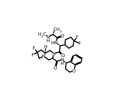 CN[C@@H](C)C(=O)N[C@H](C(=O)N1C[C@H]2CC(F)(F)CN2CC1C(=O)N[C@@H]1CCOc2ccccc21)C1CCC(F)(F)CC1